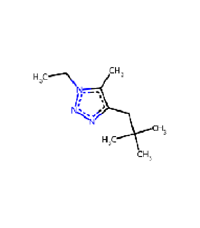 CCn1nnc(CC(C)(C)C)c1C